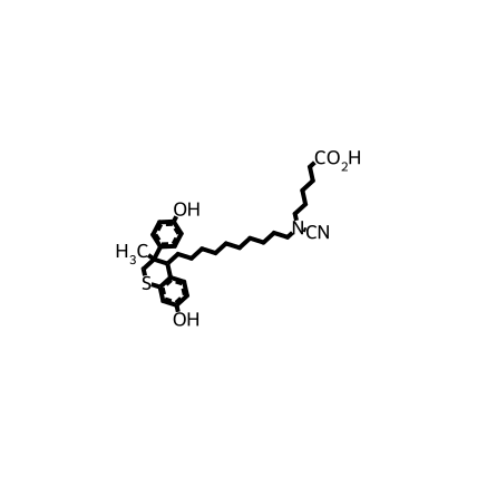 CC1(c2ccc(O)cc2)CSc2cc(O)ccc2C1CCCCCCCCCCN(C#N)CCCCCC(=O)O